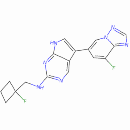 Fc1cc(-c2c[nH]c3nc(NCC4(F)CCC4)ncc23)cn2ncnc12